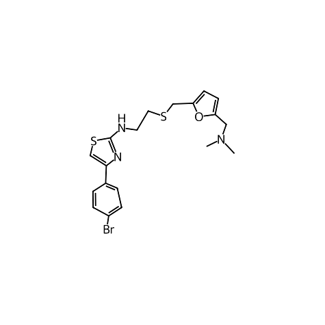 CN(C)Cc1ccc(CSCCNc2nc(-c3ccc(Br)cc3)cs2)o1